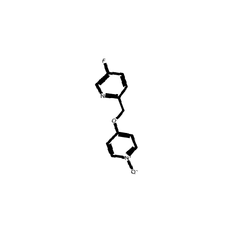 [O-][n+]1ccc(OCc2ccc(F)cn2)cc1